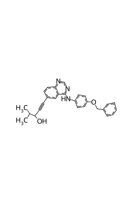 CC(C)C(O)C#Cc1ccc2ncnc(Nc3ccc(OCc4ccccc4)cc3)c2c1